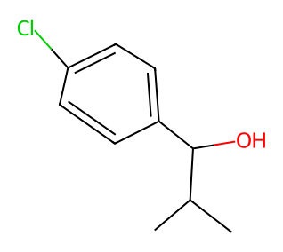 CC(C)C(O)c1ccc(Cl)cc1